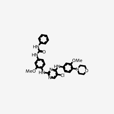 COc1cc(NC(=O)Nc2ccccc2)ccc1Nc1ncc(Cl)c(Nc2ccc(N3CCOCC3)c(OC)c2)n1